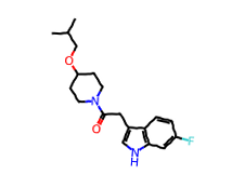 CC(C)COC1CCN(C(=O)Cc2c[nH]c3cc(F)ccc23)CC1